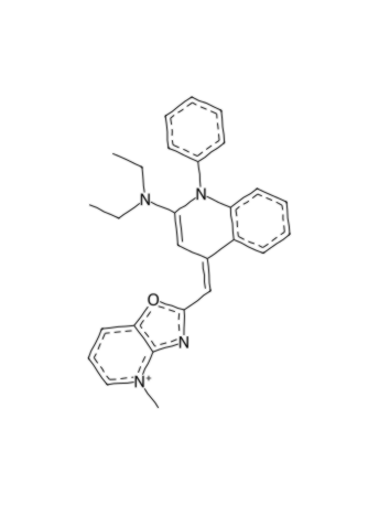 CCN(CC)C1=C/C(=C\c2nc3c(ccc[n+]3C)o2)c2ccccc2N1c1ccccc1